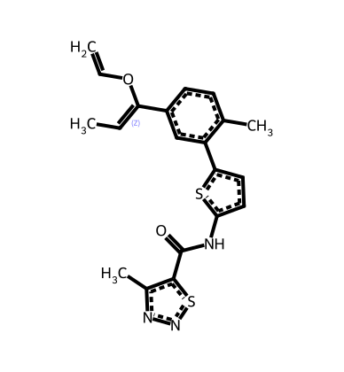 C=CO/C(=C\C)c1ccc(C)c(-c2ccc(NC(=O)c3snnc3C)s2)c1